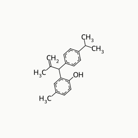 C=C(C)C(c1ccc(C(C)C)cc1)c1cc(C)ccc1O